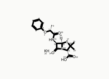 C[C@@H](Oc1ccccc1)C(=O)N[C@@H]1C(=O)N2[C@@H]1SC(C)(C)[C@@H]2C(=O)O.[KH]